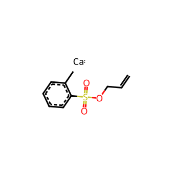 C=CCOS(=O)(=O)c1ccccc1C.[Ca]